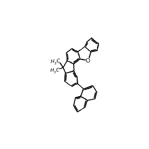 CC1(C)c2ccc(-c3cccc4ccccc34)cc2-c2c1ccc1c2oc2ccccc21